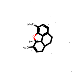 COc1ccc2c3c1O[C@@H]1C(OC(C)=O)=CCC(CC2)C31